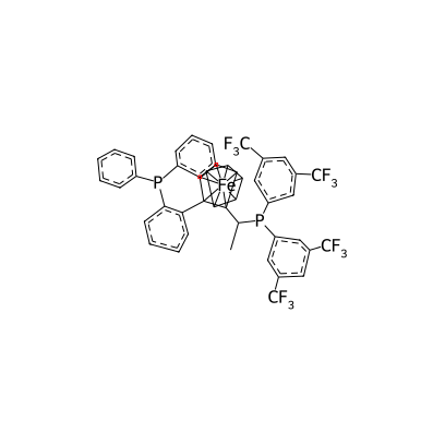 CC(P(c1cc(C(F)(F)F)cc(C(F)(F)F)c1)c1cc(C(F)(F)F)cc(C(F)(F)F)c1)[C]12[CH]3[CH]4[CH]5[C]1(c1ccccc1P(c1ccccc1)c1ccccc1)[Fe]45321678[CH]2[CH]1[CH]6[CH]7[CH]28